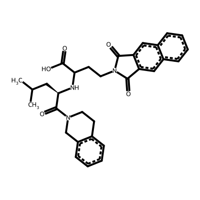 CC(C)C[C@@H](NC(CCN1C(=O)c2cc3ccccc3cc2C1=O)C(=O)O)C(=O)N1CCc2ccccc2C1